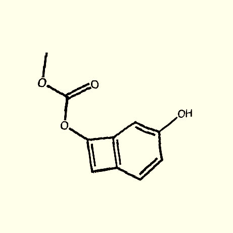 COC(=O)OC1=Cc2ccc(O)cc21